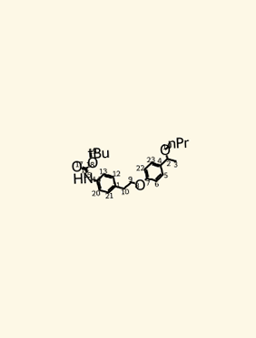 [CH2]CCOC(C)c1ccc(OCCc2ccc(NC(=O)OC(C)(C)C)cc2)cc1